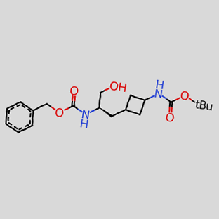 CC(C)(C)OC(=O)NC1CC(C[C@H](CO)NC(=O)OCc2ccccc2)C1